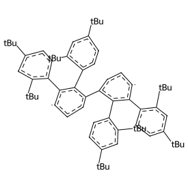 CC(C)(C)c1ccc(-c2[c]ccc(-c3cc[c]c(-c4ccc(C(C)(C)C)cc4C(C)(C)C)c3-c3ccc(C(C)(C)C)cc3C(C)(C)C)c2-c2ccc(C(C)(C)C)cc2C(C)(C)C)c(C(C)(C)C)c1